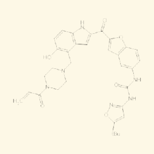 C=CC(=O)N1CCN(Cc2c(O)ccc3[nH]c(C(=O)c4cc5cc(NC(=O)Nc6cc(C(C)(C)C)on6)ccc5o4)cc23)CC1